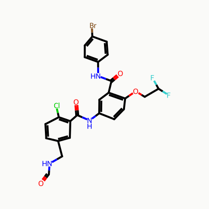 O=CNCc1ccc(Cl)c(C(=O)Nc2ccc(OCC(F)F)c(C(=O)Nc3ccc(Br)cc3)c2)c1